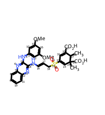 COc1cc(Nc2nc3ccccc3nc2NC=CCS(=O)(=O)C2=CC(C)(C(=O)O)C(C)C(C(=O)O)=C2)cc(OC)c1